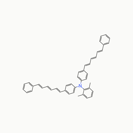 Cc1cccc(C)c1N(c1ccc(C=CC=CC=Cc2ccccc2)cc1)c1ccc(C=CC=CC=Cc2ccccc2)cc1